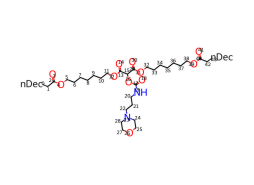 CCCCCCCCCCCC(=O)OCCCCCCCOC(=O)C(OC(=O)NCCCN1CCOCC1)C(=O)OCCCCCCCOC(=O)CCCCCCCCCCC